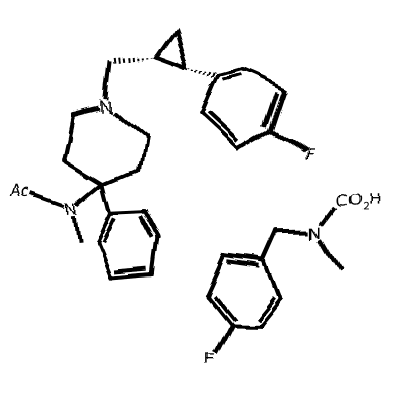 CC(=O)N(C)C1(c2ccccc2)CCN(C[C@@H]2C[C@@H]2c2ccc(F)cc2)CC1.CN(Cc1ccc(F)cc1)C(=O)O